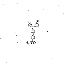 Cc1csc(C(c2cccc(Br)c2)N2CCN(c3ccc(C(N)=O)cc3)CC2)n1